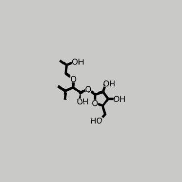 CC(O)COC(C(C)C)[C@H](O)OC1OC(CO)C(O)C1O